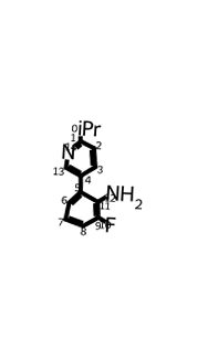 CC(C)c1ccc(-c2cccc(F)c2N)cn1